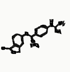 Cl.N=C(N)Nc1ccc(C(=O)Oc2ccc3c(c2)COC3=O)cc1